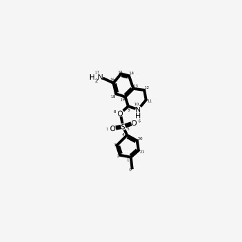 Cc1ccc(S(=O)(=O)OC2NCCc3ccc(N)cc32)cc1